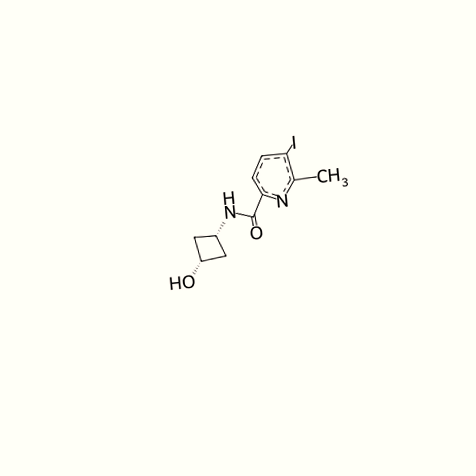 Cc1nc(C(=O)N[C@H]2C[C@@H](O)C2)ccc1I